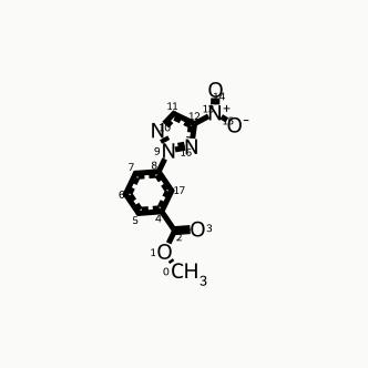 COC(=O)c1cccc(-n2ncc([N+](=O)[O-])n2)c1